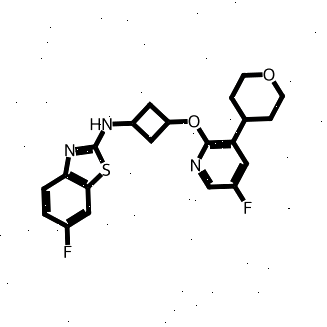 Fc1cnc(OC2CC(Nc3nc4ccc(F)cc4s3)C2)c(C2CCOCC2)c1